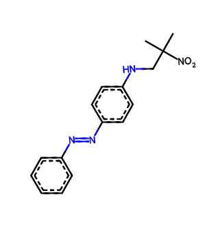 CC(C)(CNc1ccc(/N=N/c2ccccc2)cc1)[N+](=O)[O-]